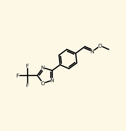 CON=Cc1ccc(-c2noc(C(F)(F)F)n2)cc1